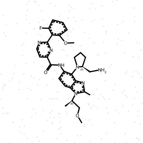 COC[C@@H](C)n1c(C)nc2c(N3CCC[C@H]3CN)c(NC(=O)c3ccnc(-c4c(F)cccc4OC)n3)ccc21